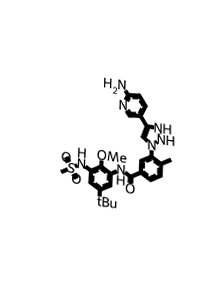 COc1c(NC(=O)c2ccc(C)c(N3C=C(c4ccc(N)nc4)NN3)c2)cc(C(C)(C)C)cc1NS(C)(=O)=O